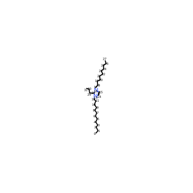 CCCCCCCCCCCCCN1C=CN(CCCCCCCCCCC)C1CCC